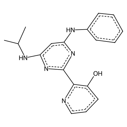 CC(C)Nc1cc(Nc2ccccc2)nc(-c2ncccc2O)n1